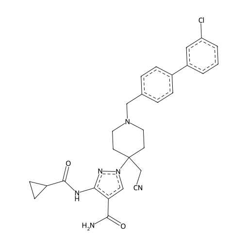 N#CCC1(n2cc(C(N)=O)c(NC(=O)C3CC3)n2)CCN(Cc2ccc(-c3cccc(Cl)c3)cc2)CC1